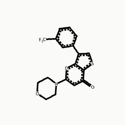 O=c1cc(N2CCOCC2)oc2c(-c3cccc(C(F)(F)F)c3)csc12